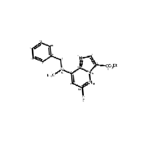 CCOC(=O)c1cnc2c(N(C)Cc3ccccc3)cc(Cl)nn12